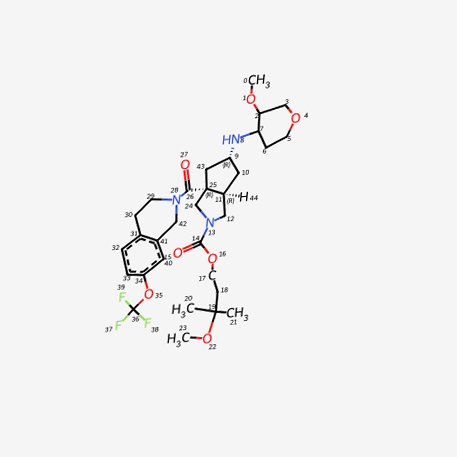 COC1COCCC1N[C@@H]1C[C@H]2CN(C(=O)OCCC(C)(C)OC)C[C@@]2(C(=O)N2CCc3ccc(OC(F)(F)F)cc3C2)C1